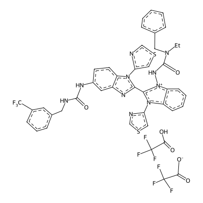 CCN(Cc1ccccc1)C(=O)N[n+]1c(-c2nc3cc(NC(=O)NCc4cccc(C(F)(F)F)c4)ccc3n2-c2cscn2)n(-c2cscn2)c2ccccc21.O=C(O)C(F)(F)F.O=C([O-])C(F)(F)F